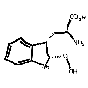 N[C@@H](C[C@H]1c2ccccc2N[C@H]1OO)C(=O)O